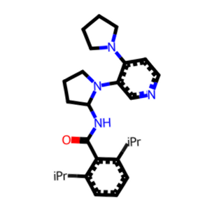 CC(C)c1cccc(C(C)C)c1C(=O)NC1CCCN1c1cnccc1N1CCCC1